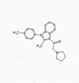 Cc1ccc(-n2c(C)c(C(=O)CN3CCCC3)c3ccccc32)cc1